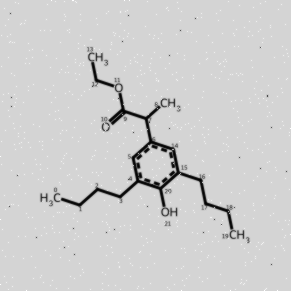 CCCCc1cc(C(C)C(=O)OCC)cc(CCCC)c1O